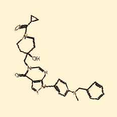 CN(Cc1ccccc1)c1ccc(-n2ncc3c(=O)n(CC4(O)CCN(C(=O)C5CC5)CC4)cnc32)cc1